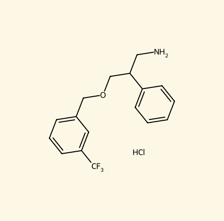 Cl.NCC(COCc1cccc(C(F)(F)F)c1)c1ccccc1